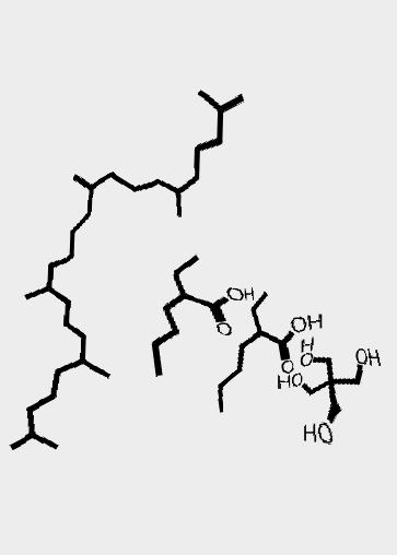 CC(C)CCCC(C)CCCC(C)CCCCC(C)CCCC(C)CCCC(C)C.CCCCC(CC)C(=O)O.CCCCC(CC)C(=O)O.OCC(CO)(CO)CO